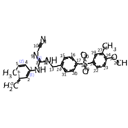 C=C/C=C(\C=C/C)N/C(=N/C#N)NCc1ccc(S(=O)(=O)c2ccc(OC)c(C)c2)cc1